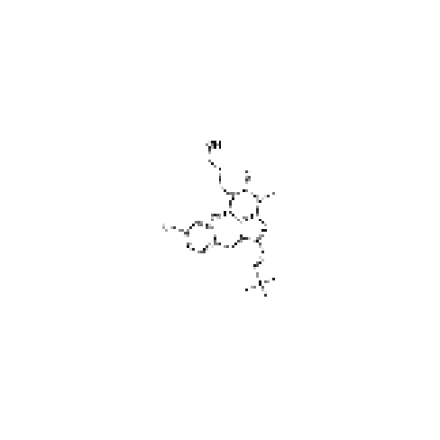 Cn1c(=O)n(CCCO)c(=O)c2c1cc(/C=C/C(C)(C)C)n2Cc1ccc(Cl)cc1